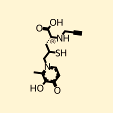 C#CCN[C@H](CC(S)Cn1ccc(=O)c(O)c1C)C(=O)O